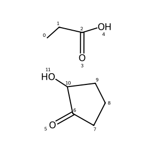 CCC(=O)O.O=C1CCCC1O